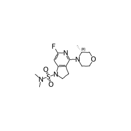 C[C@@H]1COCCN1c1nc(F)cc2c1CCN2S(=O)(=O)N(C)C